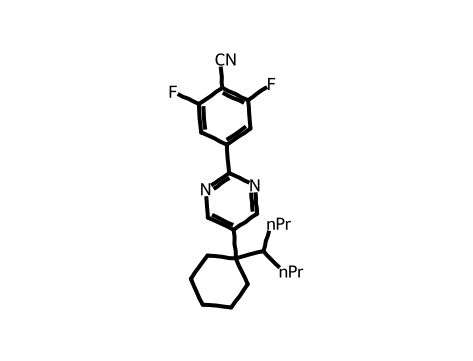 CCCC(CCC)C1(c2cnc(-c3cc(F)c(C#N)c(F)c3)nc2)CCCCC1